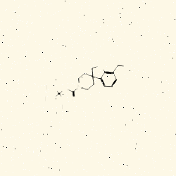 CC(C)(C)OC(=O)N1CCC2(CC1)COc1c(CO)cccc12